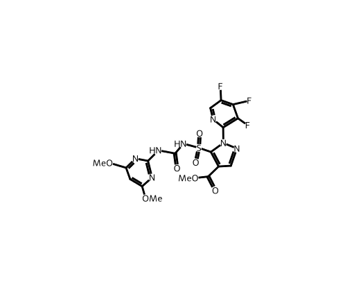 COC(=O)c1cnn(-c2ncc(F)c(F)c2F)c1S(=O)(=O)NC(=O)Nc1nc(OC)cc(OC)n1